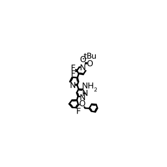 CC(C)(C)OC(=O)N1CC=C(c2ccnc(-c3cc(-c4cccc(F)c4OCc4ccccc4)nnc3N)c2)C(F)(F)C1